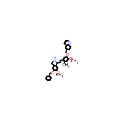 COc1cc(C)c(/C=C/C2NCCc3cc(OCc4ccccc4)c(OC)cc32)cc1OCc1ccc2ncccc2c1